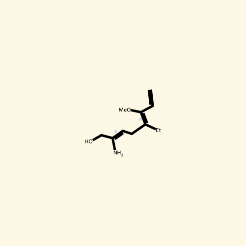 C=C/C(OC)=C(\CC)C/C=C(\N)CO